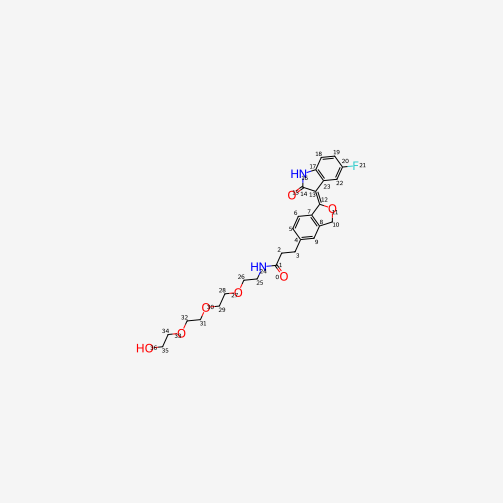 O=C(CCc1ccc2c(c1)COC2=C1C(=O)Nc2ccc(F)cc21)NCCOCCOCCOCCO